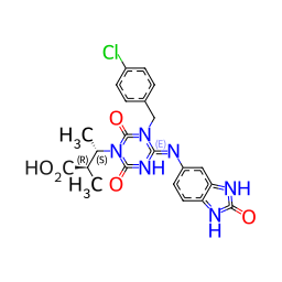 C[C@@H](C(=O)O)[C@H](C)n1c(=O)[nH]/c(=N\c2ccc3[nH]c(=O)[nH]c3c2)n(Cc2ccc(Cl)cc2)c1=O